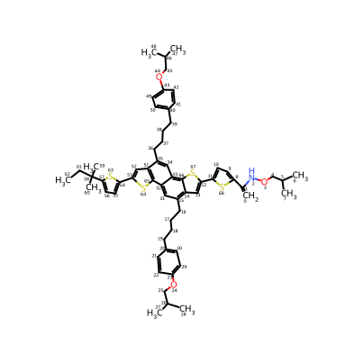 C=C(NOCC(C)C)c1ccc(-c2cc3c(CCCCc4ccc(OCC(C)C)cc4)cc4c(cc(CCCCc5ccc(OCC(C)C)cc5)c5cc(-c6ccc(C(C)(C)CC)s6)sc54)c3s2)s1